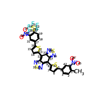 Cc1ccc(-c2ccc(-c3c4c(c(-c5ccc(-c6ccc(S(F)(F)(F)(F)F)c([N+](=O)[O-])c6)s5)c5nsnc35)N=S=N4)s2)cc1[N+](=O)[O-]